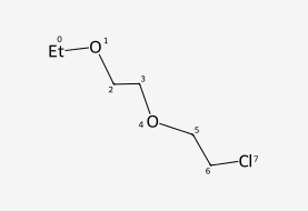 [CH2]COCCOCCCl